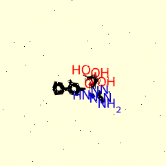 Cc1cc(CNc2nc3c(N)ncnc3n2[C@@H]2O[C@H](CO)[C@@H](O)[C@H]2O)ccc1-c1ccccc1